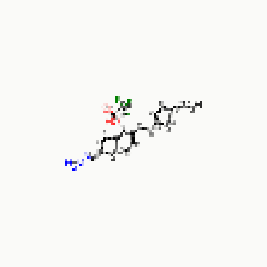 NN=Cc1ccc2cc(C=Cc3ccc(C(=O)O)cc3)ccc2c1.O=C(O)C(F)(F)F